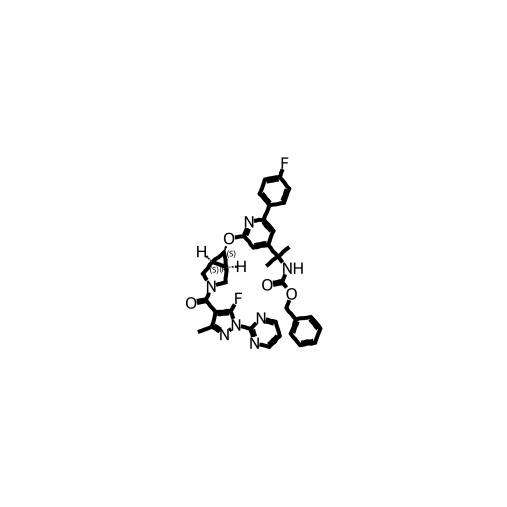 Cc1nn(-c2ncccn2)c(F)c1C(=O)N1C[C@@H]2[C@H](C1)[C@H]2Oc1cc(C(C)(C)NC(=O)OCc2ccccc2)cc(-c2ccc(F)cc2)n1